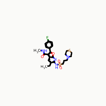 CCc1cc2c(C(=O)NC)c(-c3ccc(F)cc3)oc2nc1NS(=O)(=O)CCCN1CCSCC1